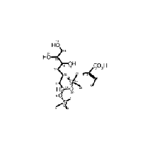 CC=C(C)C(=O)O.C[Si](C)(C)O[SiH](CCCC(O)C(O)CO)O[Si](C)(C)C